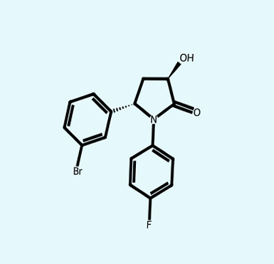 O=C1[C@H](O)C[C@@H](c2cccc(Br)c2)N1c1ccc(F)cc1